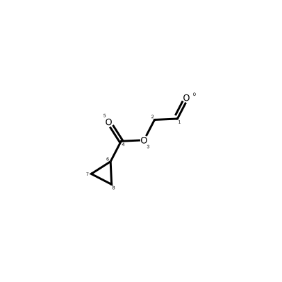 O=CCOC(=O)C1CC1